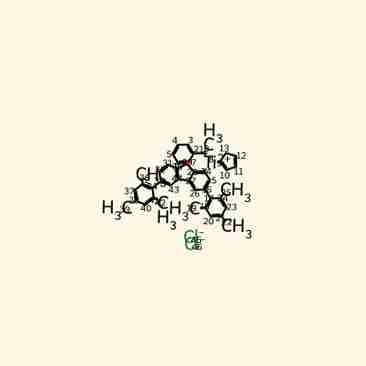 C/[C](c1ccccc1)=[Ti+2](\[C]1=CC=CC1)[c]1cc(-c2c(C)cc(C)cc2C)cc2c1Cc1ccc(-c3c(C)cc(C)cc3C)cc1-2.[Cl-].[Cl-]